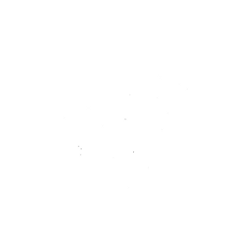 CS(=O)(=O)c1ccc(C2=CCC=C2c2ccccn2)cc1